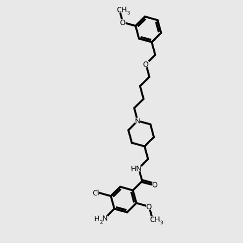 COc1cccc(COCCCCN2CCC(CNC(=O)c3cc(Cl)c(N)cc3OC)CC2)c1